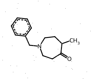 CC1CCN(Cc2ccccc2)CCC1=O